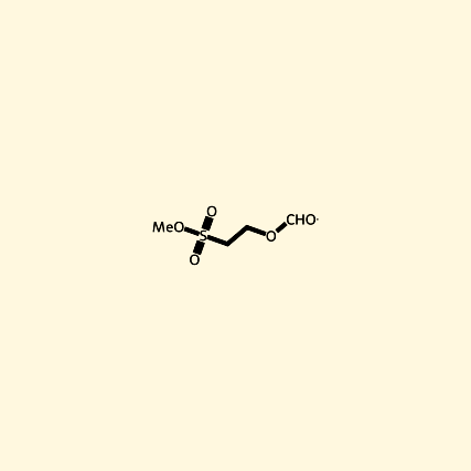 COS(=O)(=O)CCO[C]=O